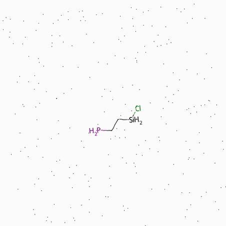 PCC[SiH2]Cl